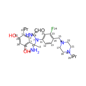 CC(C)c1cc(C(C)(N)N(C(=N)C=O)c2ccc(CN3CCN(C(C)C)CC3)c(F)c2)c(O)cc1O